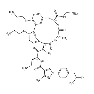 Cc1nn(-c2ccc(CC(C)C)cc2)cc1C(=O)N[C@@H](CCN)C(=O)N(C)[C@@H]1C(=O)N[C@@H](C)C(=O)N[C@H](C(=O)NCC#N)Cc2ccc(OCCN)c(c2)-c2cc1ccc2OCCN